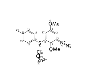 COC1=CC(=[N+]=[N-])C(OC)C(Sc2ccc(C)cc2)=C1.[Cl-].[Cl-].[Zn+2]